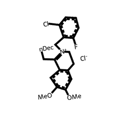 CCCCCCCCCCCC1=[N+](Cc2c(F)cccc2Cl)CCc2cc(OC)c(OC)cc21.[Cl-]